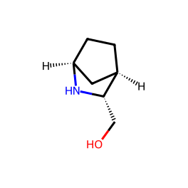 OC[C@@H]1N[C@H]2CC[C@@H]1C2